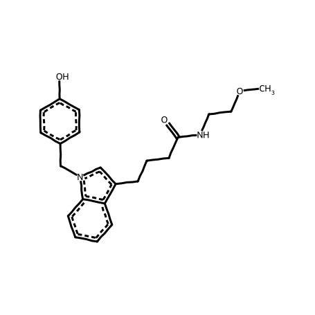 COCCNC(=O)CCCc1cn(Cc2ccc(O)cc2)c2ccccc12